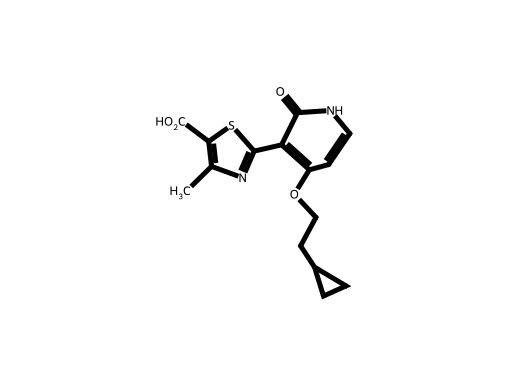 Cc1nc(-c2c(OCCC3CC3)cc[nH]c2=O)sc1C(=O)O